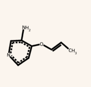 C/C=C/Oc1ccncc1N